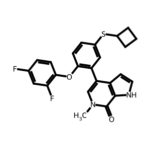 Cn1cc(-c2cc(SC3CCC3)ccc2Oc2ccc(F)cc2F)c2cc[nH]c2c1=O